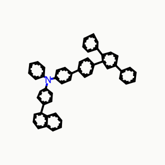 c1ccc(-c2ccc(-c3ccccc3)c(-c3ccc(-c4ccc(N(c5ccccc5)c5ccc(-c6cccc7ccccc67)cc5)cc4)cc3)c2)cc1